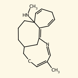 CNC12C=CCC=C\C1=C1CC(CC\C=C(C)/C=N\1)CCC2